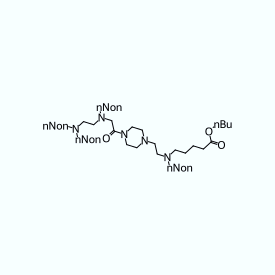 CCCCCCCCCN(CCCCC(=O)OCCCC)CCN1CCN(C(=O)CN(CCCCCCCCC)CCN(CCCCCCCCC)CCCCCCCCC)CC1